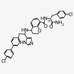 NC(=O)[C@H](Cc1ccc(Cl)cc1)NC(=O)c1cccc2c1OCCC2NC(Cc1ccc(-c2ccc(Cl)cc2)cc1)c1cnc[nH]1